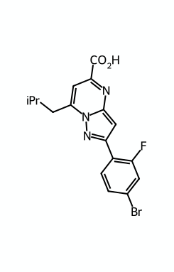 CC(C)Cc1cc(C(=O)O)nc2cc(-c3ccc(Br)cc3F)nn12